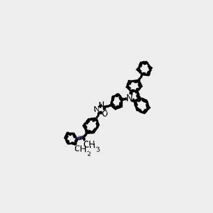 C=c1cccc/c1=C(/C)c1ccc(-c2nnc(-c3ccc(-n4c5ccccc5c5cc(-c6ccccc6)ccc54)cc3)o2)cc1